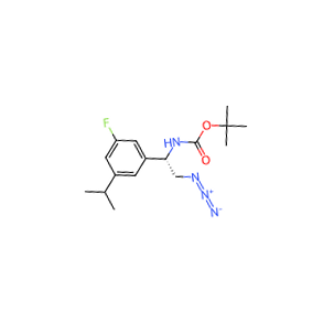 CC(C)c1cc(F)cc([C@@H](CN=[N+]=[N-])NC(=O)OC(C)(C)C)c1